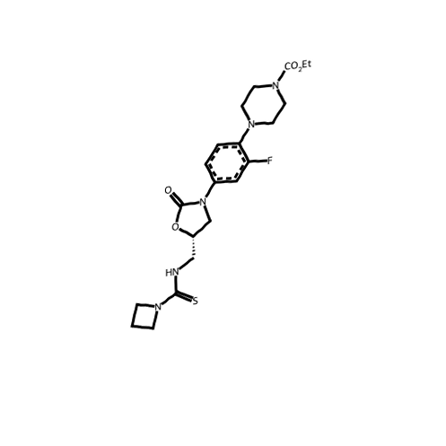 CCOC(=O)N1CCN(c2ccc(N3C[C@H](CNC(=S)N4CCC4)OC3=O)cc2F)CC1